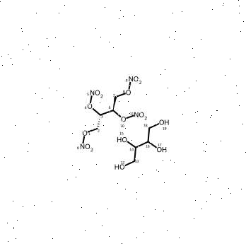 O=[N+]([O-])OC[C@H](O[N+](=O)[O-])[C@@H](CO[N+](=O)[O-])O[N+](=O)[O-].OCC(O)C(O)CO